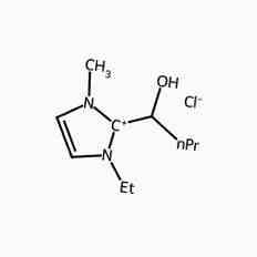 CCCC(O)[c+]1n(C)ccn1CC.[Cl-]